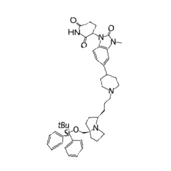 Cn1c(=O)n(C2CCC(=O)NC2=O)c2ccc(C3CCN(CCC[C@@H]4CC[C@@]5(CO[Si](c6ccccc6)(c6ccccc6)C(C)(C)C)CCCN45)CC3)cc21